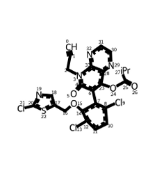 C#CCn1c(=O)c(-c2c(Cl)ccc(Cl)c2OCc2cnc(Cl)s2)c(OC(=O)C(C)C)c2nccnc21